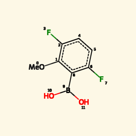 COc1c(F)ccc(F)c1B(O)O